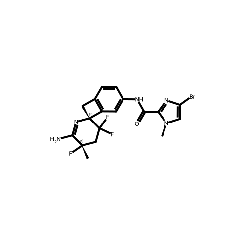 Cn1cc(Br)nc1C(=O)Nc1ccc2c(c1)[C@@]1(C2)N=C(N)[C@@](C)(F)CC1(F)F